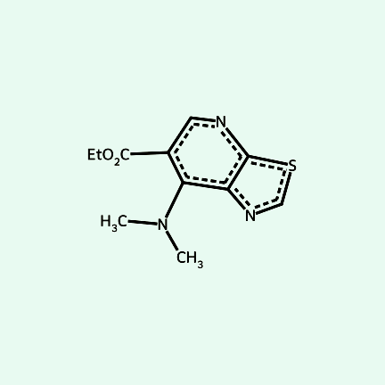 CCOC(=O)c1cnc2scnc2c1N(C)C